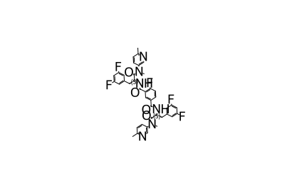 Cc1ccc(N(C)C(=O)[C@H](Cc2cc(F)cc(F)c2)NC(=O)c2ccc(F)c(C(=O)N[C@@H](Cc3cc(F)cc(F)c3)C(=O)N(C)c3ccc(C)nc3)c2)cn1